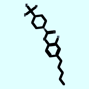 CCCCCc1ccc(OC(=O)[C@H]2CC[C@H](C(F)(F)F)CC2)c(F)c1